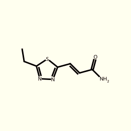 CCc1nnc(C=CC(N)=O)s1